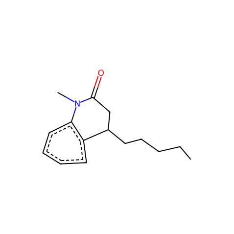 CCCCCC1CC(=O)N(C)c2ccccc21